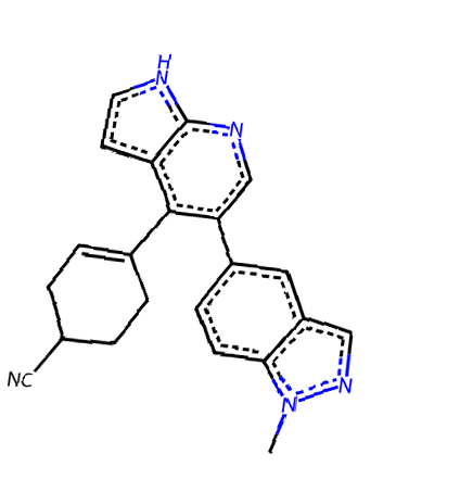 Cn1ncc2cc(-c3cnc4[nH]ccc4c3C3=CCC(C#N)CC3)ccc21